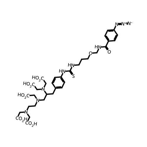 [N-]=[N+]=Nc1ccc(C(=O)NCOCCCNC(=S)Nc2ccc(CC(CN(CCN(CC(=O)O)CC(=O)O)CC(=O)O)N(CC(=O)O)CC(=O)O)cc2)cc1